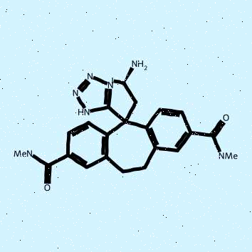 CNC(=O)c1ccc2c(c1)CCc1cc(C(=O)NC)ccc1C2(C[C@H](N)I)c1nnn[nH]1